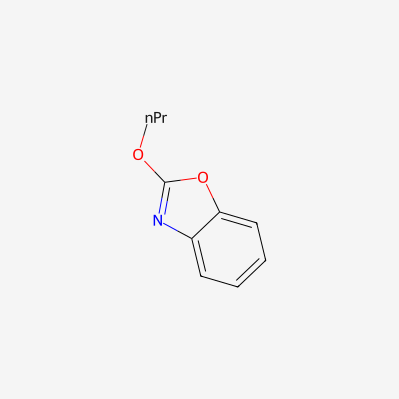 CCCOc1nc2ccccc2o1